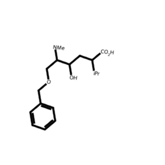 CNC(COCc1ccccc1)C(O)CC(C(=O)O)C(C)C